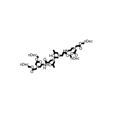 CCCCCCCCCCCOC(=O)CN(CCNC(=O)CCN(CCN(CCC(=O)NCCN(CC(=O)OCCCCCCCCCCC)CC(=O)OCCCCCCCCCCC)CC(C)O)CC(C)O)CC(=O)OCCCCCCCCCCC